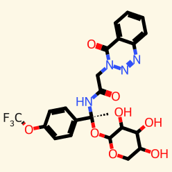 C[C@](NC(=O)Cn1nnc2ccccc2c1=O)(OC1OCC(O)C(O)C1O)c1ccc(OC(F)(F)F)cc1